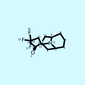 CC(=O)N1CC2CCCC(C1)N2CCC(F)(F)F